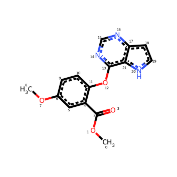 COC(=O)c1cc(OC)ccc1Oc1ncnc2cc[nH]c12